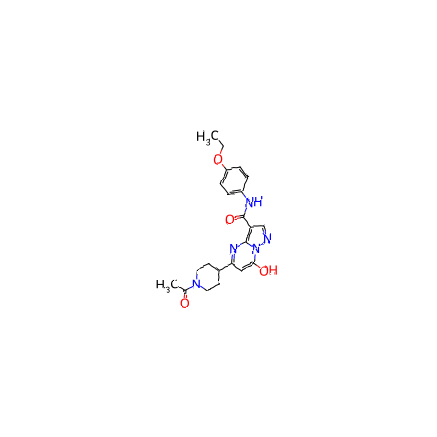 CCOc1ccc(NC(=O)c2cnn3c(O)cc(C4CCN(C(C)=O)CC4)nc23)cc1